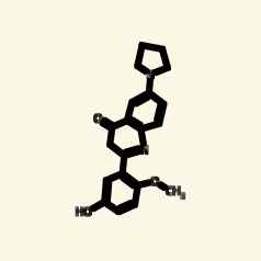 COc1ccc(O)cc1C1=Nc2ccc(N3CCCC3)cc2C(=O)C1